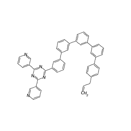 C=CCc1ccc(-c2cccc(-c3cccc(-c4cccc(-c5cccc(-c6nc(-c7cccnc7)nc(-c7cccnc7)n6)c5)c4)c3)c2)cc1